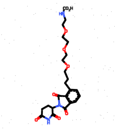 O=C(O)NCCOCCOCCOCCCc1cccc2c1C(=O)N(C1CCC(=O)NC1=O)C2=O